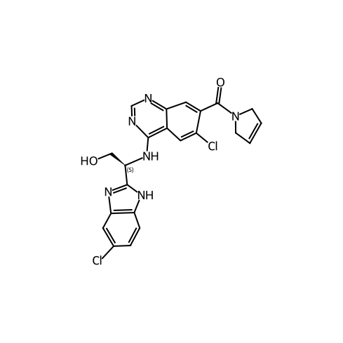 O=C(c1cc2ncnc(N[C@H](CO)c3nc4cc(Cl)ccc4[nH]3)c2cc1Cl)N1CC=CC1